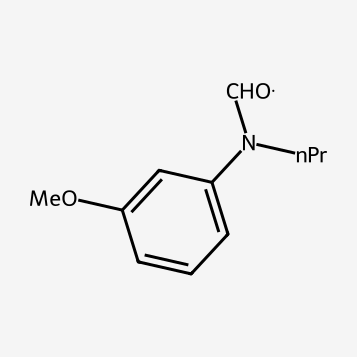 CCCN([C]=O)c1cccc(OC)c1